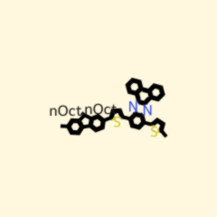 CCCCCCCCC1(CCCCCCCC)c2cc(C)ccc2-c2ccc(-c3ccc(-c4ccc(-c5ccc(C)s5)c5nc6c7ccccc7c7ccccc7c6nc45)s3)cc21